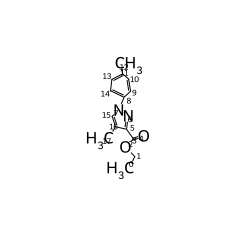 CCOC(=O)c1nn(-c2ccc(C)cc2)cc1C